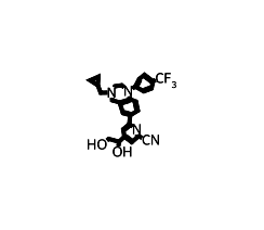 N#Cc1cc(C(O)CO)cc(-c2ccc3c(c2)CN(CC2CC2)CCN3c2ccc(C(F)(F)F)cc2)n1